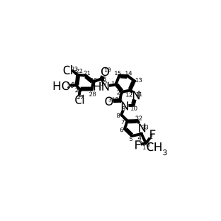 CC(F)(F)c1ccc(Cn2cnc3cccc(NC(=O)c4cc(Cl)c(O)c(Cl)c4)c3c2=O)cn1